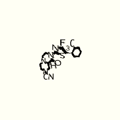 N#CN1CCN2CCN(c3ncc([C@@H]4CCCC[C@@H]4C(F)(F)F)s3)C(=O)[C@H]2C1